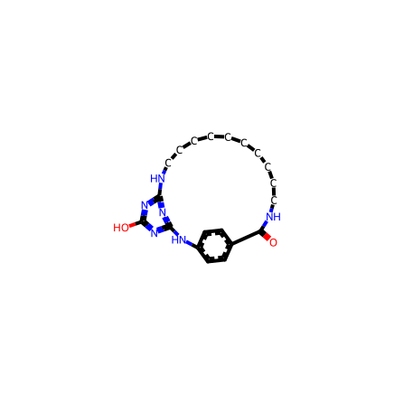 O=C1NCCCCCCCCCCNc2nc(O)nc(n2)Nc2ccc1cc2